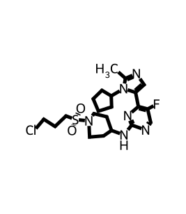 Cc1ncc(-c2nc(NC3CCN(S(=O)(=O)CCCCl)CC3)ncc2F)n1C1CCCC1